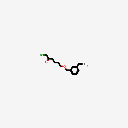 C=Cc1cccc(COCCCCC(=O)CBr)c1